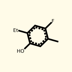 CCc1cc(F)c(C)cc1O